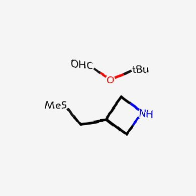 CC(C)(C)OC=O.CSCC1CNC1